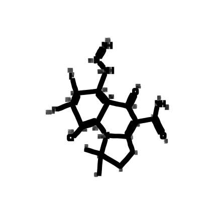 CC1(C)CCc2c(C(N)=O)c(=O)c3c(NN=N)c(F)c(F)c(Cl)c3n21